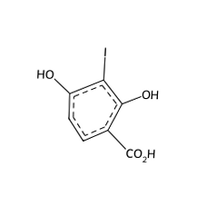 O=C(O)c1ccc(O)c(I)c1O